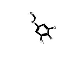 FC(F)(F)c1cc(NCS)cc(Cl)c1Br